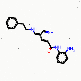 N=CC(=C\NCCc1ccccc1)/C=C/C(=O)Nc1ccccc1N